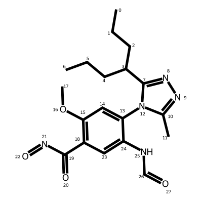 CCCC(CCC)c1nnc(C)n1-c1cc(OC)c(C(=O)N=O)cc1NC=O